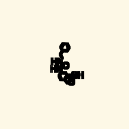 O=C(NCCc1ccccc1)Nc1ccc2c(c1)B(O)OC2